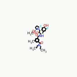 CCCN(CCC)C(=O)c1cc(C)cc(C(=O)N[C@@H](CC2=CC(F)C(O)C(F)=C2)[C@@H](O)CN2CCC[C@H]2COC)c1